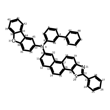 c1ccc(-c2cccc(N(c3ccc4ccc5c(ccc6nc(-c7ccccc7)sc65)c4c3)c3ccc4oc5ccccc5c4c3)c2)cc1